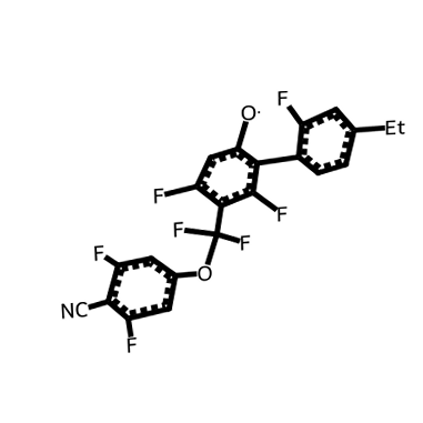 CCc1ccc(-c2c([O])cc(F)c(C(F)(F)Oc3cc(F)c(C#N)c(F)c3)c2F)c(F)c1